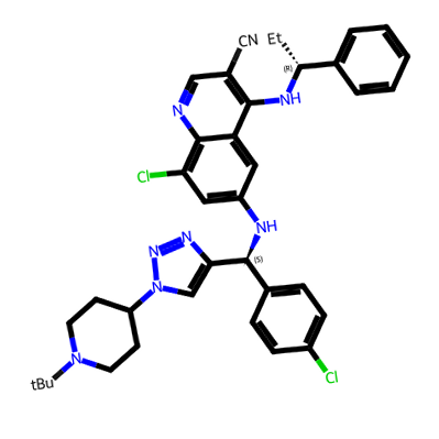 CC[C@@H](Nc1c(C#N)cnc2c(Cl)cc(N[C@@H](c3ccc(Cl)cc3)c3cn(C4CCN(C(C)(C)C)CC4)nn3)cc12)c1ccccc1